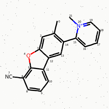 Cc1cc2oc3c(C#N)cccc3c2cc1-c1cccc[n+]1C